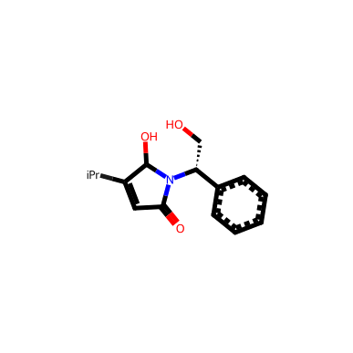 CC(C)C1=CC(=O)N([C@H](CO)c2ccccc2)C1O